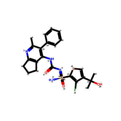 Cc1nc2c(c(NC(=O)N=[S@@](N)(=O)c3scc(C(C)(C)O)c3F)c1-c1ccccc1)CCC2